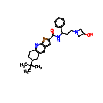 CC(C)(C)[C@H]1CCc2nc3sc(C(=O)NC(CCN4CC(O)C4)c4ccccc4)cc3cc2C1